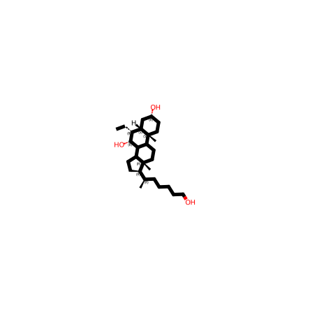 CC[C@H]1[C@@H](O)C2C3CC[C@H]([C@H](C)CCCCCO)[C@@]3(C)CCC2[C@@]2(C)CC[C@@H](O)C[C@@H]12